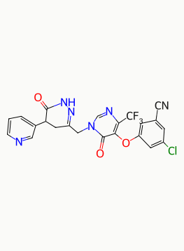 N#Cc1cc(Cl)cc(Oc2c(C(F)(F)F)ncn(CC3=NNC(=O)C(c4cccnc4)C3)c2=O)c1